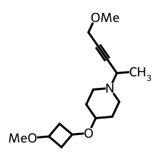 COCC#CC(C)N1CCC(OC2CC(OC)C2)CC1